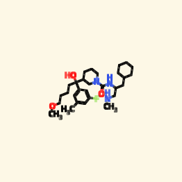 CNCC(CC1CCCCC1)NC(=O)N1CCCC(C(O)(CCCCOC)c2cc(C)cc(F)c2)C1